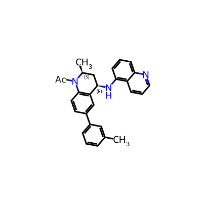 CC(=O)N1c2ccc(-c3cccc(C)c3)cc2[C@H](Nc2cccc3ncccc23)C[C@@H]1C